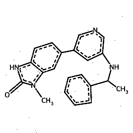 CC(Nc1cncc(-c2ccc3[nH]c(=O)n(C)c3c2)c1)c1ccccc1